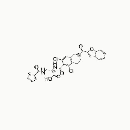 O=C(NC[C@H](NC(=O)c1c(Cl)cc2c(c1Cl)CCN(C(=O)C1=CC3C=CC=CC3O1)C2)C(=O)O)c1cccs1